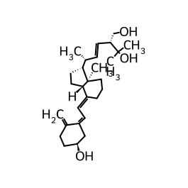 C=C1CC[C@H](O)C/C1=C/C=C1\CCC[C@]2(C)[C@@H]([C@H](C)/C=C/[C@H](CO)C(C)(C)O)CC[C@@H]12